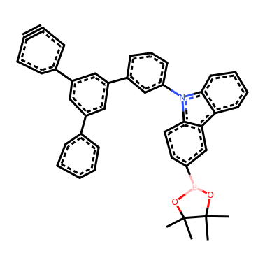 CC1(C)OB(c2ccc3c(c2)c2ccccc2n3-c2cccc(-c3cc(-c4cc#ccc4)cc(-c4ccccc4)c3)c2)OC1(C)C